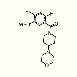 CCc1cc(F)c(C(=O)N2CCC(N3CCOCC3)CC2)cc1OC